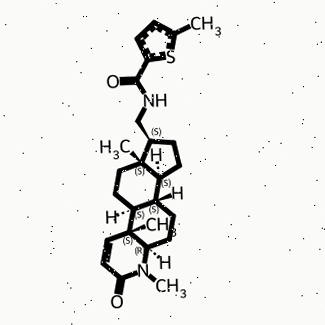 Cc1ccc(C(=O)NC[C@H]2CC[C@H]3[C@@H]4CC[C@H]5N(C)C(=O)C=C[C@]5(C)[C@H]4CC[C@]23C)s1